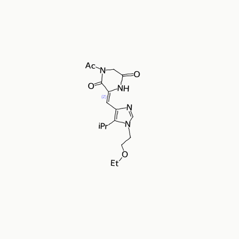 CCOCCn1cnc(/C=C2\NC(=O)CN(C(C)=O)C2=O)c1C(C)C